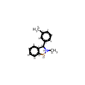 Cc1cccc(C2c3ccccc3SN2C)c1